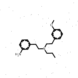 CCCN(CCc1cccc(N)c1)CCc1cccc(OC)c1